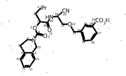 CC(C)CC(OC(=O)N1CCc2ccccc2C1)C(=O)NC(C#N)COCc1cccc(C(=O)O)c1